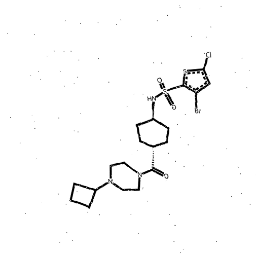 O=C([C@H]1CC[C@H](NS(=O)(=O)c2sc(Cl)cc2Br)CC1)N1CCN(C2CCC2)CC1